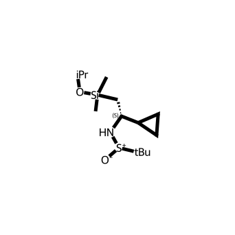 CC(C)O[Si](C)(C)C[C@@H](N[S+]([O-])C(C)(C)C)C1CC1